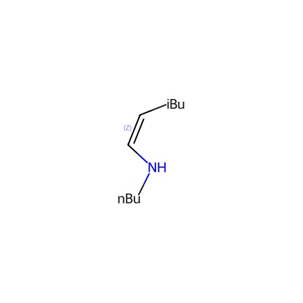 CCCCN/C=C\C(C)CC